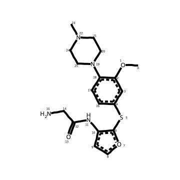 COc1cc(Sc2occc2NC(=O)CN)ccc1N1CCN(C)CC1